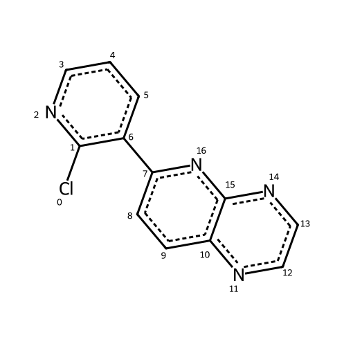 Clc1ncccc1-c1ccc2nccnc2n1